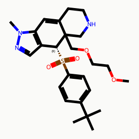 COCCOCC12CNCCC1=Cc1c(cnn1C)[C@H]2S(=O)(=O)c1ccc(C(C)(C)C)cc1